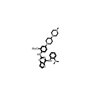 COc1cc(N2CCC(N3CCN(C)CC3)CC2)ccc1Nc1nc(Nc2ccccc2P(C)C)c2sccc2n1